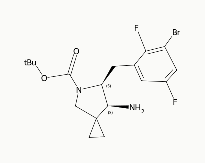 CC(C)(C)OC(=O)N1CC2(CC2)[C@H](N)[C@@H]1Cc1cc(F)cc(Br)c1F